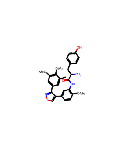 COc1ccc(-c2conc2-c2cc(C)c(OC)c(OC)c2)cc1NC(=O)C(N)Cc1ccc(O)cc1